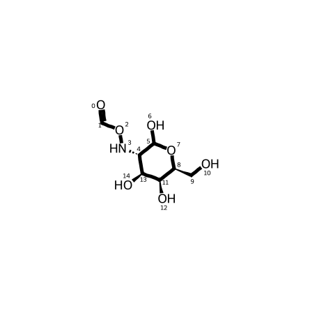 O=CON[C@@H]1C(O)O[C@@H](CO)[C@@H](O)[C@H]1O